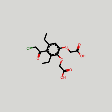 CCc1cc(OCC(=O)O)c(OCC(=O)O)c(CC)c1C(=O)CCl